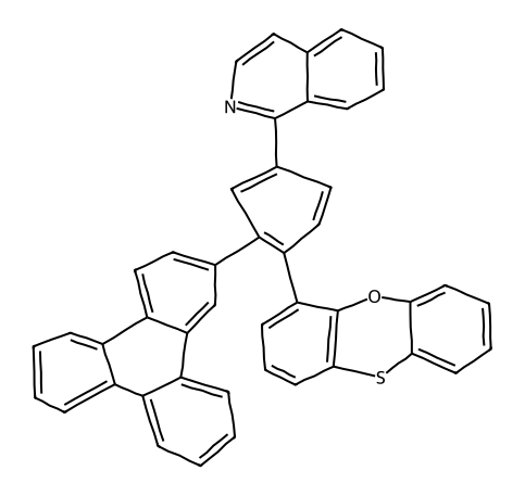 c1ccc2c(c1)Oc1c(cccc1-c1ccc(-c3nccc4ccccc34)cc1-c1ccc3c4ccccc4c4ccccc4c3c1)S2